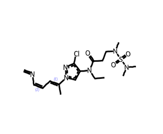 C=N/C=C\C=C(/C)n1cc(N(CC)C(=O)CCN(C)S(=O)(=O)N(C)C)c(Cl)n1